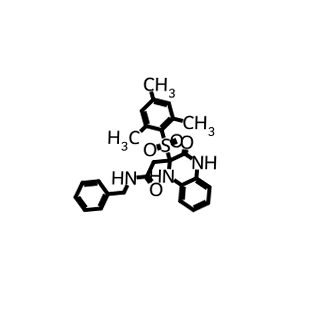 Cc1cc(C)c(S(=O)(=O)C2(CC(=O)NCc3ccccc3)Nc3ccccc3NC2=O)c(C)c1